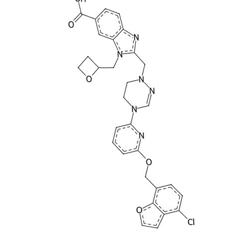 O=C(O)c1ccc2nc(CN3CCN(c4cccc(OCc5ccc(Cl)c6ccoc56)n4)C=N3)n(CC3CCO3)c2c1